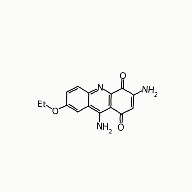 CCOc1ccc2nc3c(c(N)c2c1)C(=O)C=C(N)C3=O